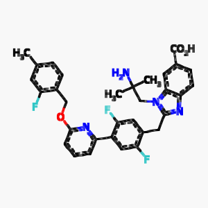 Cc1ccc(COc2cccc(-c3cc(F)c(Cc4nc5ccc(C(=O)O)cc5n4CC(C)(C)N)cc3F)n2)c(F)c1